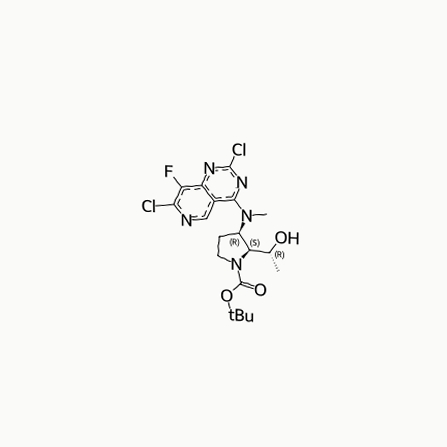 C[C@@H](O)[C@@H]1[C@H](N(C)c2nc(Cl)nc3c(F)c(Cl)ncc23)CCN1C(=O)OC(C)(C)C